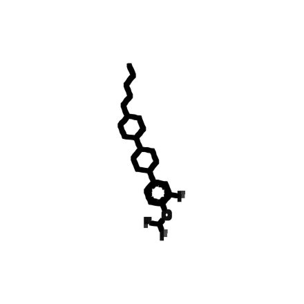 CCCCCC1CCC(C2CCC(c3ccc(OC(F)F)c(F)c3)CC2)CC1